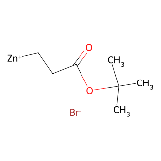 CC(C)(C)OC(=O)C[CH2][Zn+].[Br-]